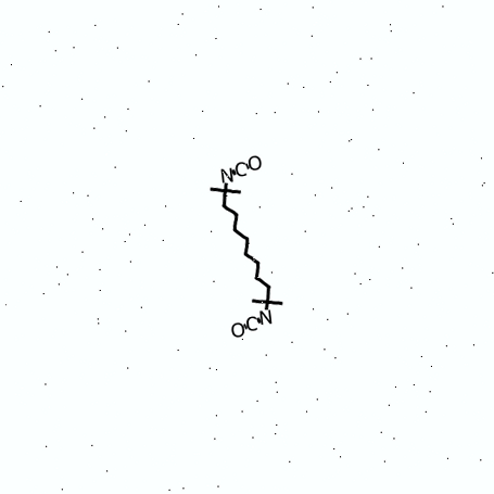 CC(C)(CCCCCCCCC(C)(C)N=C=O)N=C=O